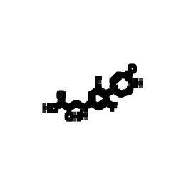 O=C1C=CN(c2c(F)cc(NC[C@@H](O)C(=O)O)cc2F)CCN1